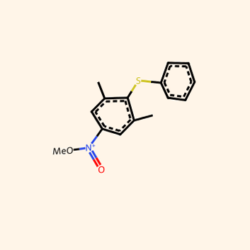 CO[N+](=O)c1cc(C)c(Sc2ccccc2)c(C)c1